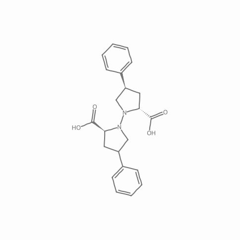 O=C(O)[C@H]1C[C@H](c2ccccc2)CN1N1CC(c2ccccc2)C[C@H]1C(=O)O